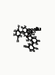 CCCC[SiH]=[Hf]([CH3])([CH3])([CH]1C=Cc2c(-c3cc(C)ccc3C)cccc21)[CH]1C=Cc2c(-c3cc(C)ccc3C)cccc21